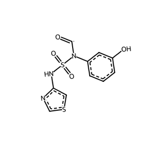 O=[C]N(c1cccc(O)c1)S(=O)(=O)Nc1cscn1